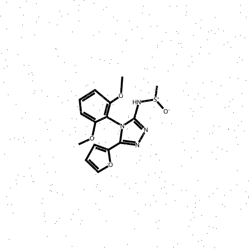 COc1cccc(OC)c1-n1c(N[S+](C)[O-])nnc1-c1ccco1